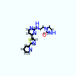 O=C1NCCN1CCNc1nccc(-c2cnc(-c3ccccn3)s2)n1